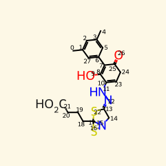 Cc1cc(C)cc(C2=C(O)C(NN=C3CN4SC4(CCCC(=O)O)S3)=CCC2=O)c1